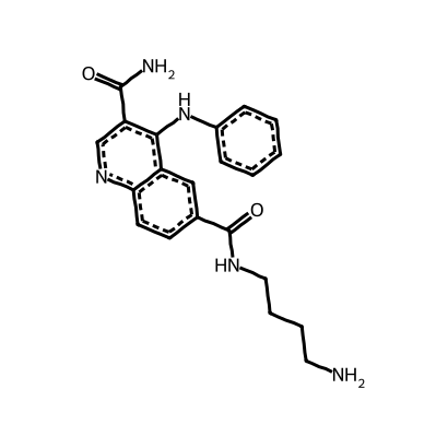 NCCCCNC(=O)c1ccc2ncc(C(N)=O)c(Nc3ccccc3)c2c1